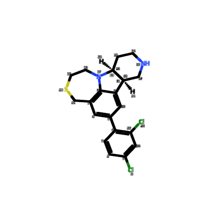 Clc1ccc(-c2cc3c4c(c2)[C@@H]2CNCC[C@@H]2N4CCSC3)c(Cl)c1